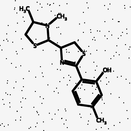 Cc1ccc(C2=NC(C3SCC(C)N3C)CS2)c(O)c1